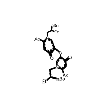 CCCCC(CC)Cn1cc(Oc2cn(CC(CC)CCCC)c(C(C)=O)cc2=O)c(=O)cc1C(C)=O